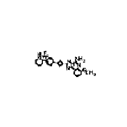 COc1cccc2c1nc(N)n1nc([C@H]3C[C@H](c4ccc([C@@]5(C(F)(F)F)CCCCN5)cc4)C3)nc21